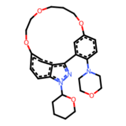 c1cc(N2CCOCC2)c2cc1OCCCOCCOc1ccc3c(c1)c-2nn3C1CCCCO1